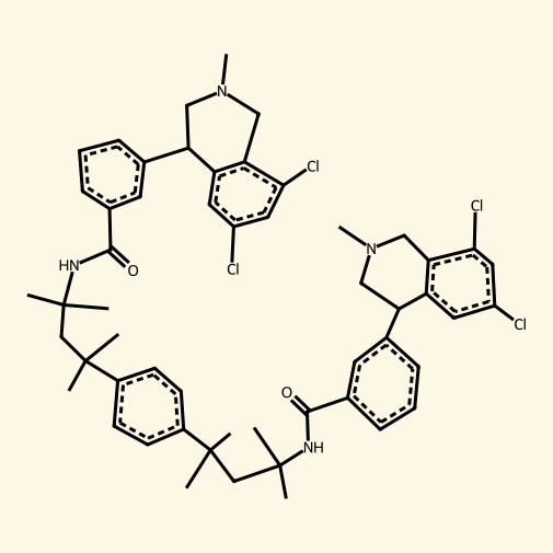 CN1Cc2c(Cl)cc(Cl)cc2C(c2cccc(C(=O)NC(C)(C)CC(C)(C)c3ccc(C(C)(C)CC(C)(C)NC(=O)c4cccc(C5CN(C)Cc6c(Cl)cc(Cl)cc65)c4)cc3)c2)C1